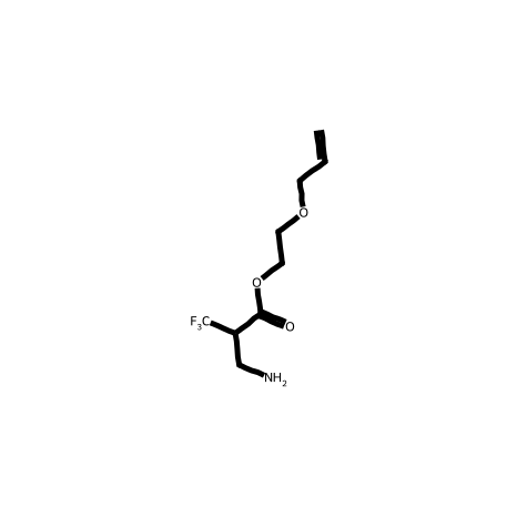 C=CCOCCOC(=O)C(CN)C(F)(F)F